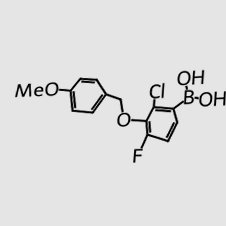 COc1ccc(COc2c(F)ccc(B(O)O)c2Cl)cc1